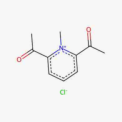 CC(=O)c1cccc(C(C)=O)[n+]1C.[Cl-]